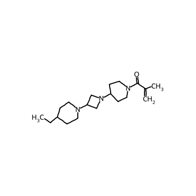 C=C(C)C(=O)N1CCC(N2CC(N3CCC(CC)CC3)C2)CC1